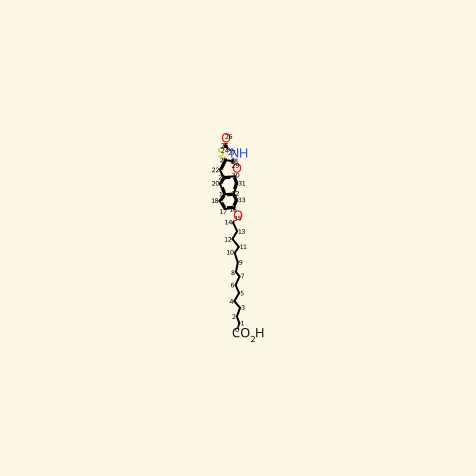 O=C(O)CCCCCCCCCCCCCCOc1ccc2cc(/C=C3/SC(=O)NC3=O)ccc2c1